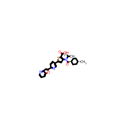 CC(C)N(c1cc(-c2ccc(-c3cc4ncccc4o3)nc2)sc1C(=O)O)C(=O)[C@H]1CC[C@H](C)CC1